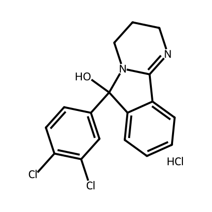 Cl.OC1(c2ccc(Cl)c(Cl)c2)c2ccccc2C2=NCCCN21